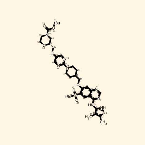 Cc1n[nH]c(Nc2ncnc3cc(OCC4CCN(c5ncc(OC[C@H]6CN(C(=O)OC(C)(C)C)CCO6)cn5)CC4)c(S(=O)(=O)C(C)(C)C)cc23)c1C